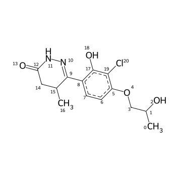 CC(O)COc1ccc(C2=NNC(=O)CC2C)c(O)c1Cl